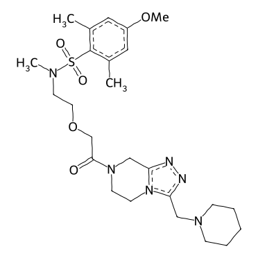 COc1cc(C)c(S(=O)(=O)N(C)CCOCC(=O)N2CCn3c(CN4CCCCC4)nnc3C2)c(C)c1